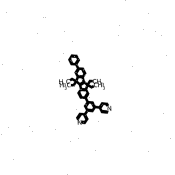 CCC1(CC)C2=C(c3ccc(-c4ccccc4)cc31)C(CC)(CC)c1cc(-c3cc(-c4ccncc4)cc(-c4ccncc4)c3)ccc12